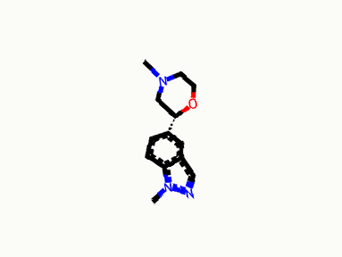 CN1CCO[C@H](c2ccc3c(cnn3C)c2)C1